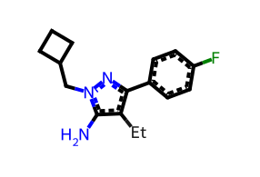 CCc1c(-c2ccc(F)cc2)nn(CC2CCC2)c1N